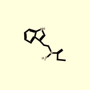 C=C(CC)N(P)CCc1c[nH]c2ccccc12